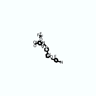 Cn1c(CN2CCC(c3cccc(OCc4ccc(C#N)cc4F)n3)CC2)nc2c(OCC(F)(F)F)cc(C(=O)O)cc21